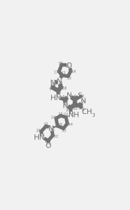 Cc1nsc2nc(Nc3cnn(C4CCOCC4)c3)nc(N[C@H]3CC[C@H](N4CCNC(=O)C4)CC3)c12